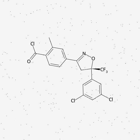 Cc1cc(C2=NO[C@@](c3cc(Cl)cc(Cl)c3)(C(F)(F)F)C2)ccc1C(=O)Cl